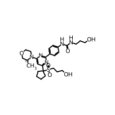 C[C@H]1COCCN1c1cc(C2(S(=O)(=O)CCCO)CCCC2)nc(-c2ccc(NC(=O)NCCCO)cc2)n1